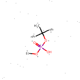 CCCC(C)(CCC)OP(=O)(O)OCC